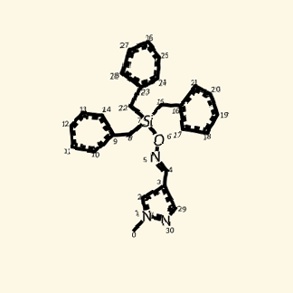 Cn1cc(/C=N/O[Si](Cc2ccccc2)(Cc2ccccc2)Cc2ccccc2)cn1